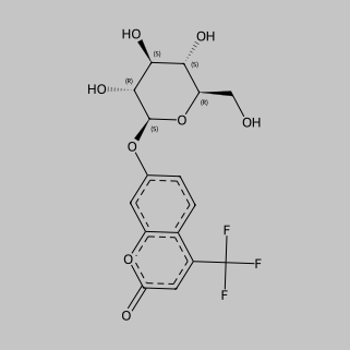 O=c1cc(C(F)(F)F)c2ccc(O[C@@H]3O[C@H](CO)[C@@H](O)[C@H](O)[C@H]3O)cc2o1